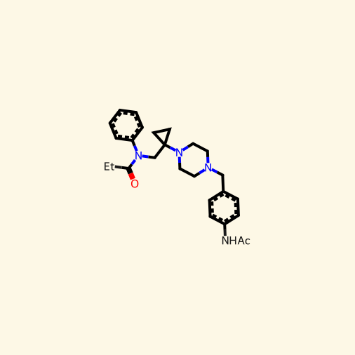 CCC(=O)N(CC1(N2CCN(Cc3ccc(NC(C)=O)cc3)CC2)CC1)c1ccccc1